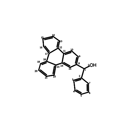 OC(c1ccccc1)c1ccc2c3ccccc3c3ccccc3c2c1